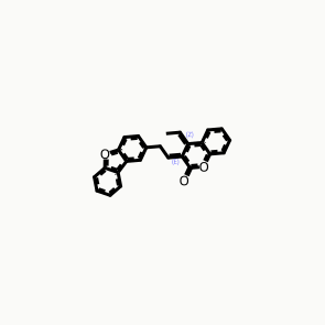 C/C=c1\c(=C/Cc2ccc3oc4ccccc4c3c2)c(=O)oc2ccccc12